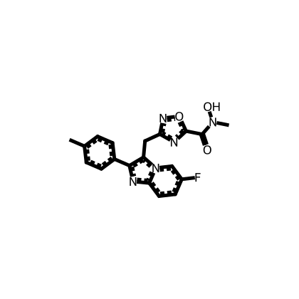 Cc1ccc(-c2nc3ccc(F)cn3c2Cc2noc(C(=O)N(C)O)n2)cc1